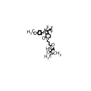 COc1ccc(-n2nc(C(F)(F)F)c3c2C(=O)N(CCCC(=O)NC2(C(=O)N(C)C)CC2)CC3)cc1